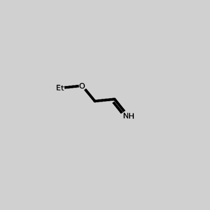 CCOCC=N